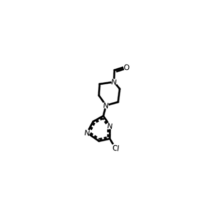 O=CN1CCN(c2cncc(Cl)n2)CC1